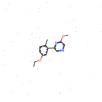 CCOc1ccc(C)c(-c2cncc(OC)n2)c1